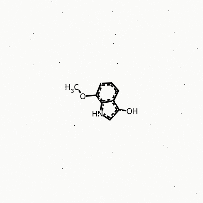 COc1cccc2c(O)c[nH]c12